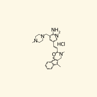 Cc1c(CN(C)C(=O)C=Cc2cnc(N)c(CN3CCN(C)CC3)c2)sc2ccccc12.Cl